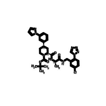 C[C@H](NC(=O)[C@H]1C[C@@H](c2cccc(-n3cccn3)c2)CCN1C(=O)OC(C)(C)C)C(=O)NCc1cc(Cl)ccc1-n1cnnn1